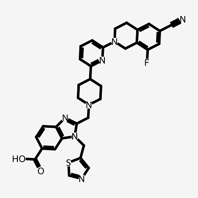 N#Cc1cc(F)c2c(c1)CCN(c1cccc(C3CCN(Cc4nc5ccc(C(=O)O)cc5n4Cc4cncs4)CC3)n1)C2